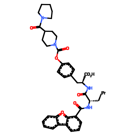 CC(C)C[C@H](NC(=O)c1cccc2c1oc1ccccc12)C(=O)N[C@@H](Cc1ccc(OC(=O)N2CCC(C(=O)N3CCCCC3)CC2)cc1)C(=O)O